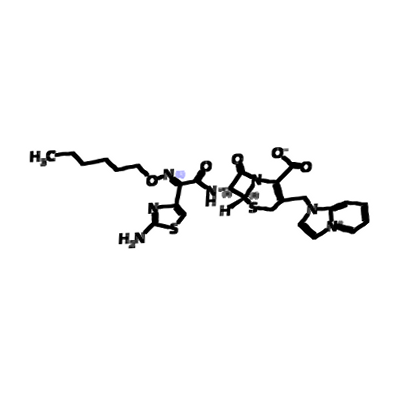 CCCCCCO/N=C(/C(=O)N[C@@H]1C(=O)N2C(C(=O)[O-])=C(Cn3cc[n+]4ccccc34)CS[C@H]12)c1csc(N)n1